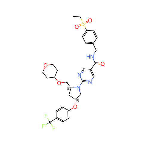 CCS(=O)(=O)c1ccc(CNC(=O)c2cnc(N3C[C@H](Oc4ccc(C(F)(F)F)cc4)C[C@H]3COC3CCOCC3)nc2)cc1